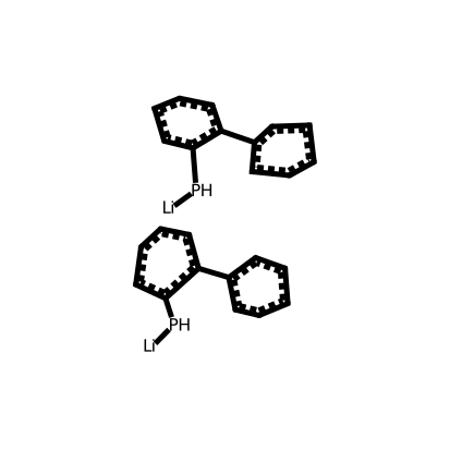 [Li][PH]c1ccccc1-c1ccccc1.[Li][PH]c1ccccc1-c1ccccc1